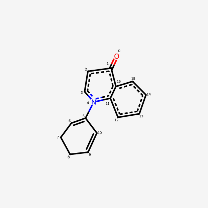 O=c1ccn(C2=CCCC=C2)c2ccccc12